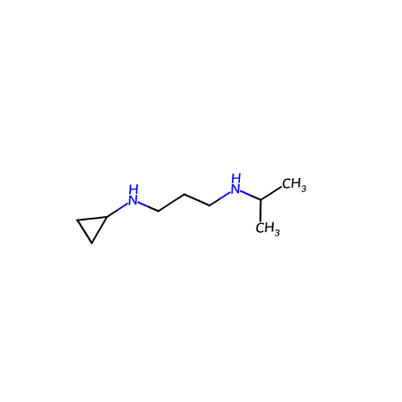 CC(C)NCCCNC1CC1